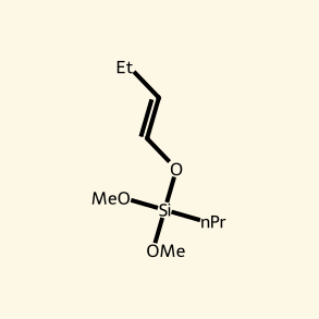 CCC=CO[Si](CCC)(OC)OC